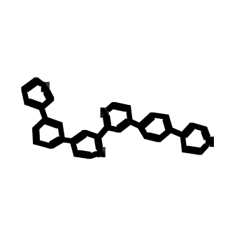 c1cncc(-c2cccc(-c3ccnc(-c4cc(-c5ccc(-c6ccncc6)cc5)ccn4)c3)c2)c1